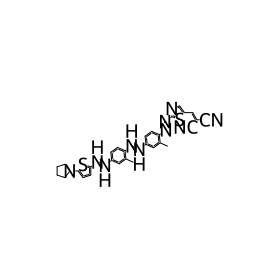 Cc1cc(NNc2ccc(NNc3ccc(N4CCCC4)s3)cc2C)ccc1/N=N/c1ncc(C=C(C#N)C#N)s1